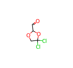 O=CC1OCC(Cl)(Cl)O1